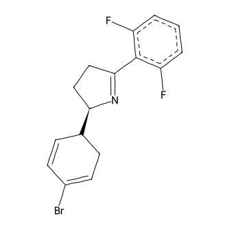 Fc1cccc(F)c1C1=N[C@@H](C2C=CC(Br)=CC2)CC1